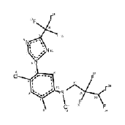 Cc1cc(Cl)c(-n2cnc(C(F)(F)F)n2)cc1[S+]([O-])CC(F)(F)C(F)F